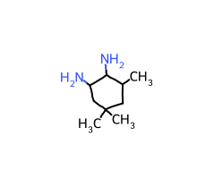 CC1CC(C)(C)CC(N)C1N